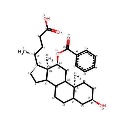 C[C@H](CCC(=O)O)[C@H]1CCC2C3CCC4C[C@H](O)CC[C@]4(C)C3C[C@H](OC(=O)c3ccccc3)[C@@]21C